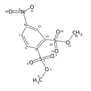 COS(=O)(=O)c1ccc([N+](=O)[O-])cc1S(=O)(=O)OC